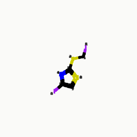 ICSc1nc(I)cs1